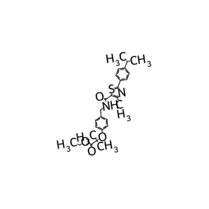 CCOC(=O)C(C)(C)Oc1ccc(CNC(=O)c2sc(-c3ccc(C(C)C)cc3)nc2C)cc1